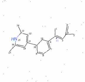 C=C(C)/C=C(\C)C1=CC=CC(C2=CC(C)NC(C)=C2)C1